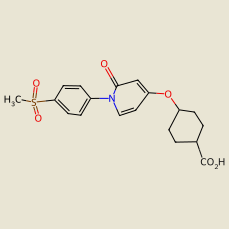 CS(=O)(=O)c1ccc(-n2ccc(OC3CCC(C(=O)O)CC3)cc2=O)cc1